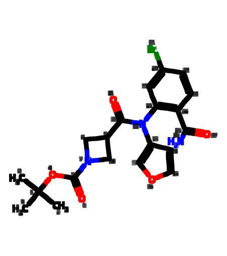 CC(C)(C)OC(=O)N1CC(C(=O)N(c2ccoc2)c2cc(Br)ccc2C(N)=O)C1